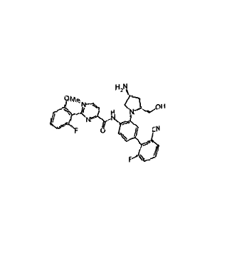 COc1cccc(F)c1-c1nccc(C(=O)Nc2ccc(-c3c(F)cccc3C#N)cc2N2C[C@@H](N)C[C@H]2CO)n1